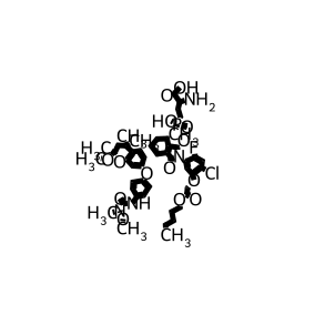 CCCCCOC(=O)COc1cc(N2C(=O)C3=C(CCCC3)C2=O)c(F)cc1Cl.CON(C)C(=O)Nc1ccc(Oc2ccc3c(c2)OC(C)(OC)CC3(C)C)cc1.CP(=O)(O)CCC(N)C(=O)O